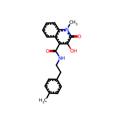 Cc1ccc(CCNC(=O)c2c(O)c(=O)n(C)c3ccccc23)cc1